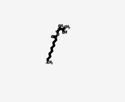 CCCCCCCCCC(=O)OCC(C)C(C)O